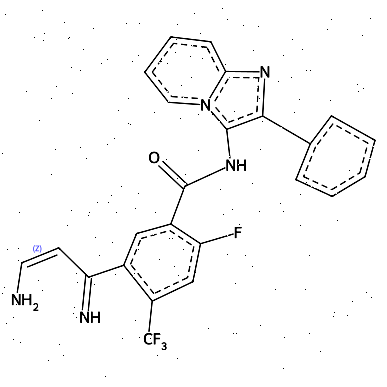 N=C(/C=C\N)c1cc(C(=O)Nc2c(-c3ccccc3)nc3ccccn23)c(F)cc1C(F)(F)F